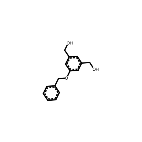 OCc1cc(CO)cc(OCc2ccccc2)c1